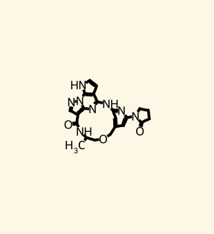 CC1COCc2cc(nc(N3CCCC3=O)c2)Nc2nc3c(cnn3c3[nH]ccc23)C(=O)N1